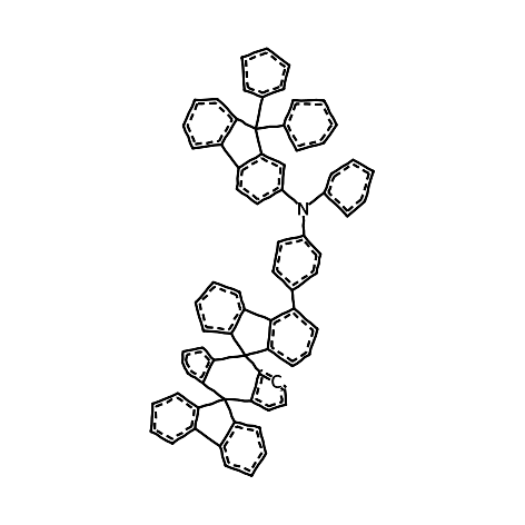 c1ccc(N(c2ccc(-c3cccc4c3-c3ccccc3C43c4ccccc4C4(c5ccccc5-c5ccccc54)c4ccccc43)cc2)c2ccc3c(c2)C(c2ccccc2)(c2ccccc2)c2ccccc2-3)cc1